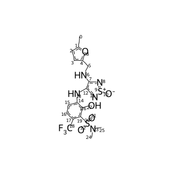 Cc1ccc(CNc2n[s+]([O-])nc2Nc2ccc(C(F)(F)F)c(S(=O)(=O)N(C)C)c2O)o1